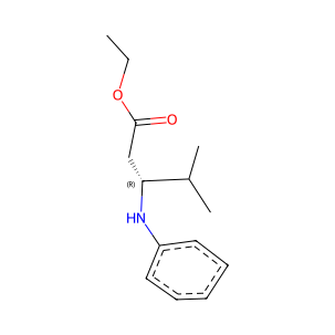 CCOC(=O)C[C@@H](Nc1ccccc1)C(C)C